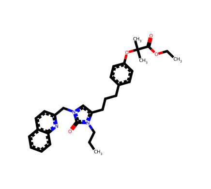 CCCn1c(CCCc2ccc(OC(C)(C)C(=O)OCC)cc2)cn(Cc2ccc3ccccc3n2)c1=O